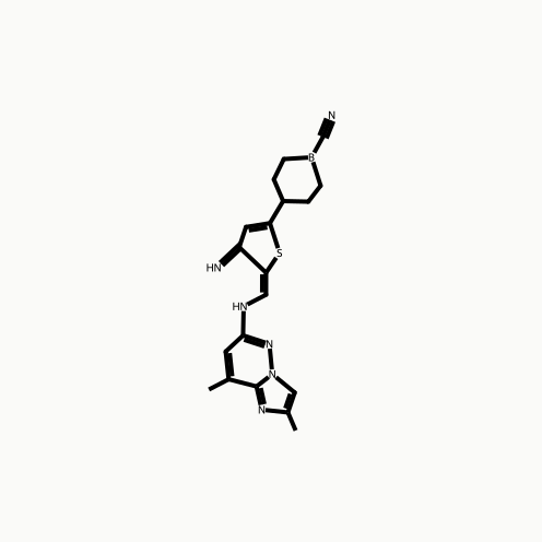 Cc1cn2nc(N/C=C3/SC(C4CCB(C#N)CC4)=CC3=N)cc(C)c2n1